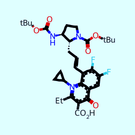 CCc1c(C(=O)O)c(=O)c2cc(F)c(F)c(C=CC[C@@H]3[C@@H](NC(=O)OC(C)(C)C)CCN3C(=O)OC(C)(C)C)c2n1C1CC1